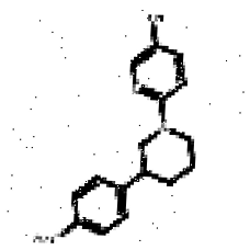 COc1ccc(C2CCCN(c3ccc(C#N)cn3)C2)cc1